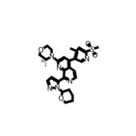 Cc1cc(S(C)(=O)=O)ncc1-c1cc(N2CCOC[C@H]2C)nc2c(-c3ccnn3C3CCCCO3)nccc12